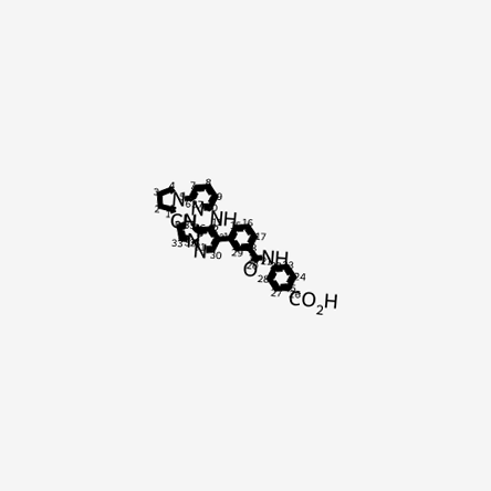 CC1CCCN1c1cccc(Nc2c(-c3cccc(C(=O)Nc4ccc(C(=O)O)cc4)c3)cnn3ccnc23)n1